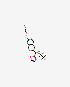 CCCCOc1ccc2c(c1)CCC(C(O[Si](C)(C)C(C)(C)C)c1ncco1)C2